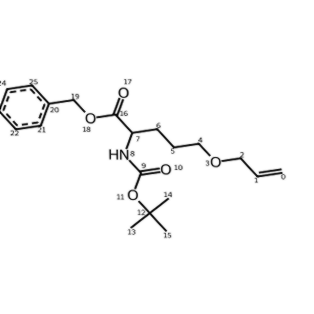 C=CCOCCCC(NC(=O)OC(C)(C)C)C(=O)OCc1ccccc1